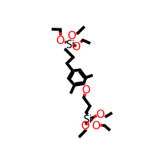 CCO[Si](CCCOc1c(C)cc(CCC[Si](OCC)(OCC)OCC)cc1C)(OCC)OCC